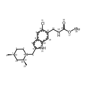 C[C@H]1CCN(Cc2cc3cc(Cl)c(CNC(=O)OC(C)(C)C)cc3[nH]2)[C@@H](C)C1